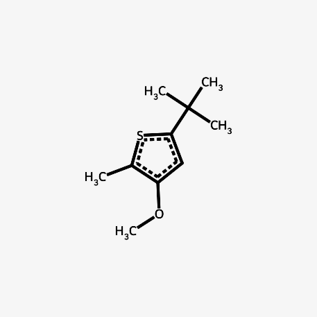 COc1cc(C(C)(C)C)sc1C